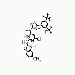 Cc1ccc2oc(=[SH]c3nc(Cl)cc(=[SH]c4nnc(-c5cc(C(F)(F)F)cc(C(F)(F)F)c5)[nH]4)[nH]3)[nH]c2c1